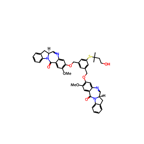 COc1cc2c(cc1OCc1cc(COc3cc4c(cc3OC)C(=O)N3c5ccccc5C[C@H]3C=N4)cc(SC(C)(C)CCO)c1)N=C[C@@H]1Cc3ccccc3N1C2=O